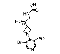 O=Cc1cncc(Br)c1N1CC([C@@H](O)CNC(=O)O)C1